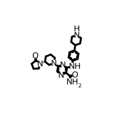 NC(=O)c1ncc(N2CCC[C@@H](N3CCCC3=O)C2)nc1Nc1ccc(C2CCNCC2)cc1